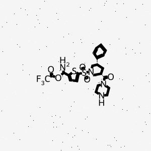 NC(OC(=O)C(F)(F)F)c1ccc(S(=O)(=O)N2C[C@@H](C(=O)N3CCNCC3)C[C@@H](c3ccccc3)C2)s1